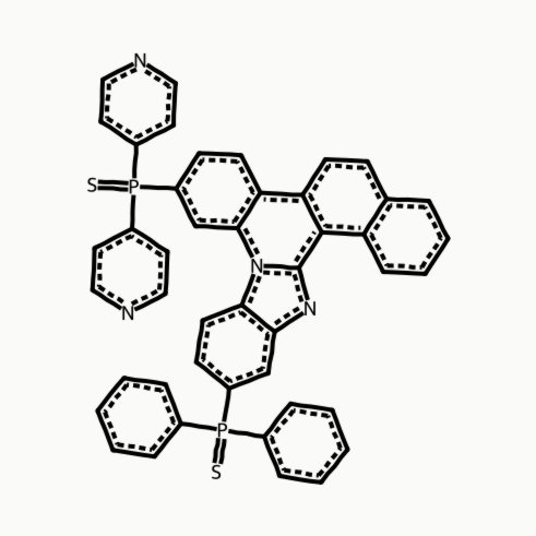 S=P(c1ccccc1)(c1ccccc1)c1ccc2c(c1)nc1c3c4ccccc4ccc3c3ccc(P(=S)(c4ccncc4)c4ccncc4)cc3n21